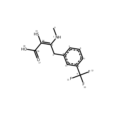 CN/C(Cc1cccc(C(F)(F)F)c1)=C(\S)C(=O)O